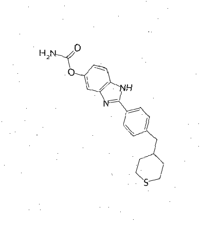 NC(=O)Oc1ccc2[nH]c(-c3ccc(CC4CCSCC4)cc3)nc2c1